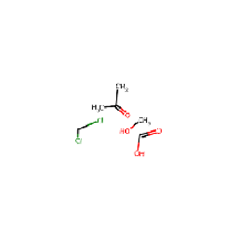 CC(C)=O.CO.ClCCl.O=CO